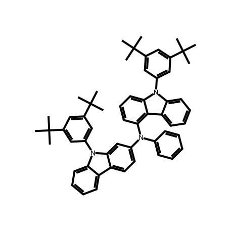 CC(C)(C)c1cc(-n2c3ccccc3c3ccc(N(c4ccccc4)c4cccc5c4c4ccccc4n5-c4cc(C(C)(C)C)cc(C(C)(C)C)c4)cc32)cc(C(C)(C)C)c1